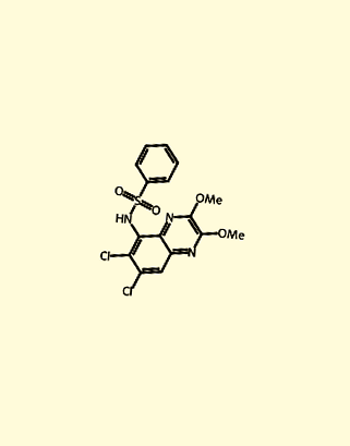 COc1nc2cc(Cl)c(Cl)c(NS(=O)(=O)c3ccccc3)c2nc1OC